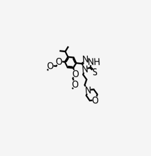 COCOc1cc(OCOC)c(C(C)C)cc1-c1n[nH]c(=S)n1CCCN1CCOCC1